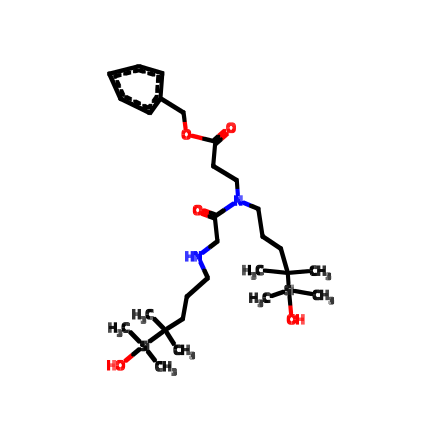 CC(C)(CCCNCC(=O)N(CCCC(C)(C)[Si](C)(C)O)CCC(=O)OCc1ccccc1)[Si](C)(C)O